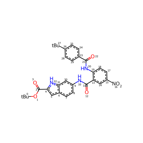 CC(C)(C)OC(=O)c1cc2ccc(NC(=O)c3cc([N+](=O)[O-])ccc3NC(=O)c3ccc(C(C)(C)C)cc3)cc2[nH]1